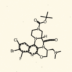 CN(C)C[C@H]1COc2nc3c(F)c(Br)c(Cl)cc3c3c2N1C(=C=O)[C@H]1CN(C(=O)OC(C)(C)C)CCN31